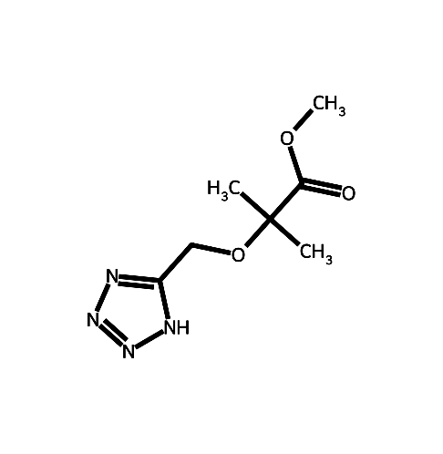 COC(=O)C(C)(C)OCc1nnn[nH]1